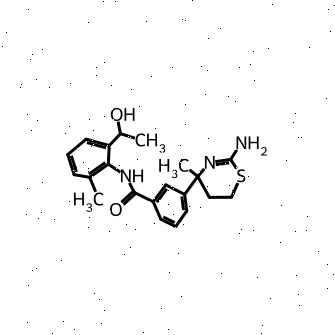 Cc1cccc(C(C)O)c1NC(=O)c1cccc(C2(C)CCSC(N)=N2)c1